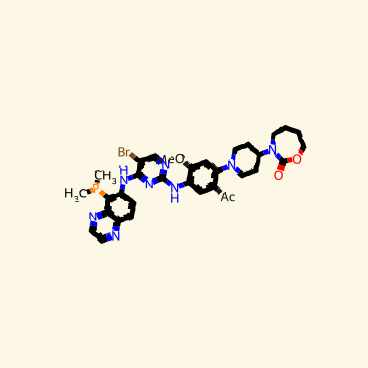 COc1cc(N2CCC(N3CCCCOC3=O)CC2)c(C(C)=O)cc1Nc1ncc(Br)c(Nc2ccc3nccnc3c2P(C)C)n1